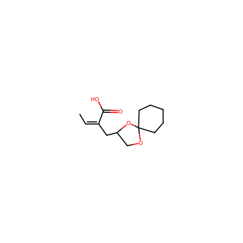 CC=C(CC1COC2(CCCCC2)O1)C(=O)O